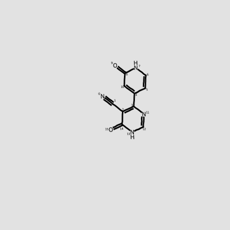 N#Cc1c(-c2cc[nH]c(=O)c2)nc[nH]c1=O